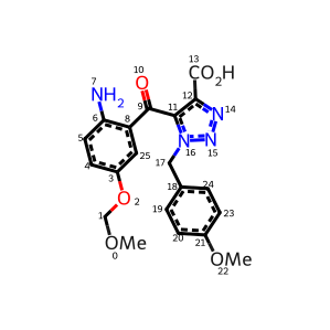 COCOc1ccc(N)c(C(=O)c2c(C(=O)O)nnn2Cc2ccc(OC)cc2)c1